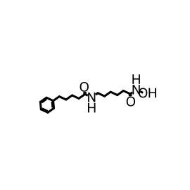 O=C(CCCCCNC(=O)CCCCc1ccccc1)NO